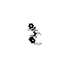 CC(CNS(=O)(=O)c1ccccc1Cl)C(=O)NC1C2CC3CC1CC(C(=O)O)(C3)C2